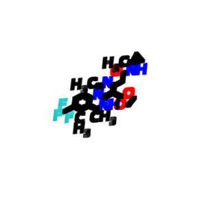 Cc1nc(CC(=O)NC2(C)CC2)c(C2OCCO2)c(N[C@H](C)c2cccc(C(F)(F)F)c2C)n1